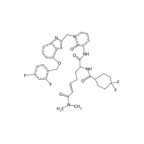 CN(C)C(=O)/C=C/CCC(NC(=O)C1CCC(F)(F)CC1)C(=O)Nc1cccn(Cc2nc3cccc(OCc4ccc(F)cc4F)c3s2)c1=O